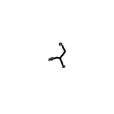 CCCC([N])O